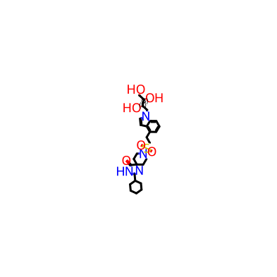 O=C1NC(C2CCCCC2)=NC12CCN(S(=O)(=O)CCc1cccc3c1ccn3C[C@H](O)[C@@H](O)CO)CC2